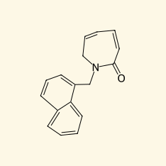 O=C1C=CC=CCN1Cc1cccc2ccccc12